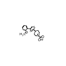 COc1ccccc1-c1csc(C2CCN(C(=O)O)CC2)n1